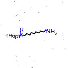 CCCCCCCNCCCCCCCCCCN